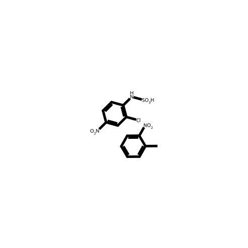 Cc1ccccc1[N+](=O)[O-].O=[N+]([O-])c1ccc(NS(=O)(=O)O)c(Cl)c1